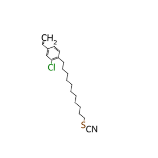 C=Cc1ccc(CCCCCCCCCCCSC#N)c(Cl)c1